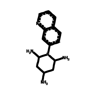 NC1CC(N)N(c2[c]cc3cccnc3c2)C(N)C1